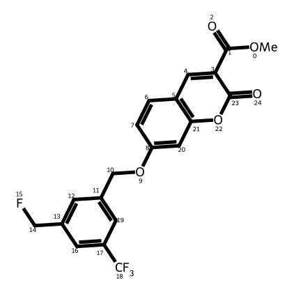 COC(=O)c1cc2ccc(OCc3cc(CF)cc(C(F)(F)F)c3)cc2oc1=O